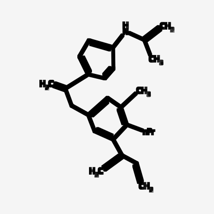 C=CC(=C)c1cc(CC(=C)c2ccc(NC(=C)C)cc2)cc(C)c1CCC